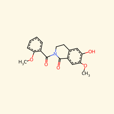 COc1cc2c(cc1O)CCN(C(=O)c1ccccc1OC)C2=O